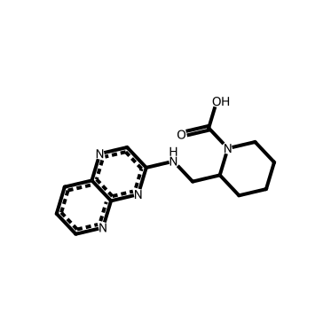 O=C(O)N1CCCCC1CNc1cnc2cccnc2n1